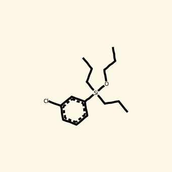 CCCO[Si](CCC)(CCC)c1cccc(Cl)c1